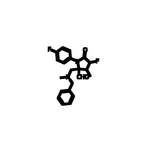 CC1C(F)C(=O)N(c2ccc(F)cc2)C1(C=O)CN(C)Cc1ccccc1